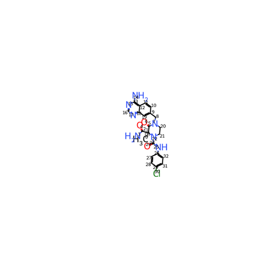 C[C@]1(C(N)=O)C(=O)N(Cc2ccc3c(N)ncnc3c2)CCN1C(=O)Nc1ccc(Cl)cc1